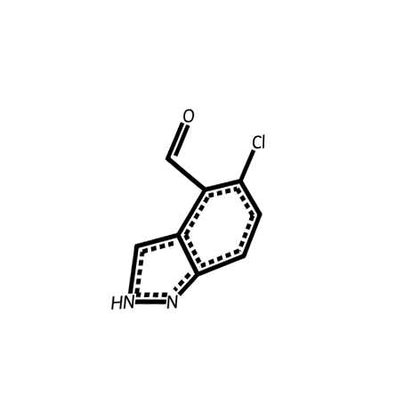 O=Cc1c(Cl)ccc2n[nH]cc12